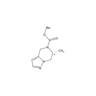 C[C@@H]1Cn2nccc2CN1C(=O)OC(C)(C)C